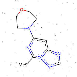 CSc1nc(N2CCOCC2)cc2ncnn12